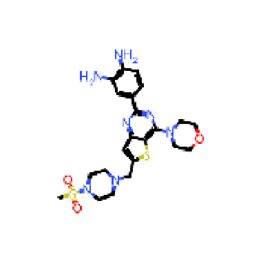 CS(=O)(=O)N1CCN(Cc2cc3nc(-c4ccc(N)c(N)c4)nc(N4CCOCC4)c3s2)CC1